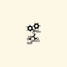 COC(=O)C(CO[Si](c1ccccc1)(c1ccccc1)C(C)(C)C)NC(=O)OC(C)(C)C